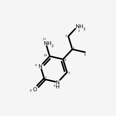 CC(CN)c1c[nH]c(=O)nc1N